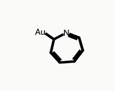 [Au][CH]1C=CC=CC=N1